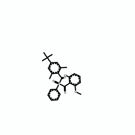 COc1cccc(Cl)c1C(=O)P(=O)(C(=O)c1c(C)cc(C(C)(C)C)cc1C)c1ccccc1